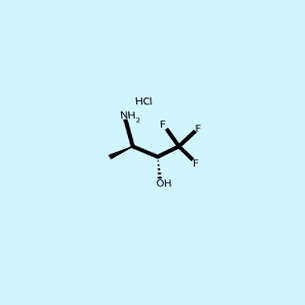 C[C@@H](N)[C@@H](O)C(F)(F)F.Cl